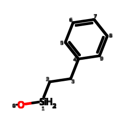 [O][SiH2]CCc1ccccc1